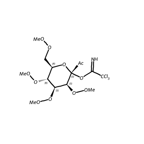 COOC[C@H]1O[C@@](OC(=N)C(Cl)(Cl)Cl)(C(C)=O)[C@@H](OOC)[C@@H](OOC)[C@@H]1OOC